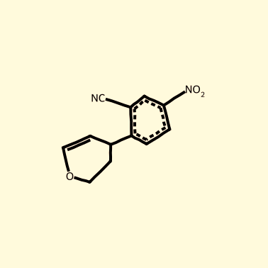 N#Cc1cc([N+](=O)[O-])ccc1C1C=COCC1